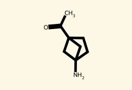 CC(=O)C12CCC(N)(C1)C2